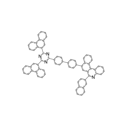 c1ccc2cc(-c3nc4ccccc4c4c3cc(-c3ccc(-c5ccc(-c6nc(-c7cc8ccccc8c8ccccc78)nc(-c7cc8ccccc8c8ccccc78)n6)cc5)cc3)c3ccccc34)ccc2c1